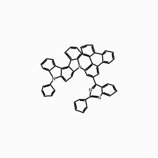 c1ccc(-c2nc(-c3cc(-n4c5ccccc5c5c6c7ccccc7n(-c7ccccc7)c6ccc54)c4c5ccccc5c5ccccc5c4c3)c3ccccc3n2)cc1